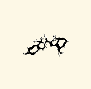 CCC1(C(C)C)c2ccc(Cl)cc2CCN1C(=O)c1cc2c(OC)cccc2[nH]1